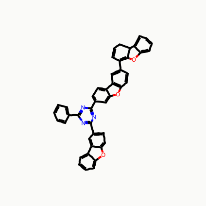 C1=CC(c2ccc3oc4cc(-c5nc(-c6ccccc6)nc(-c6ccc7oc8ccccc8c7c6)n5)ccc4c3c2)=C2Oc3ccccc3C2C1